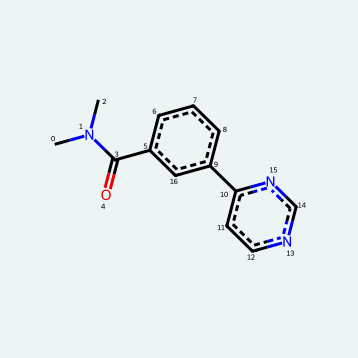 CN(C)C(=O)c1cccc(-c2c[c]ncn2)c1